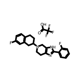 Fc1ccc2c(c1)CC(N1CCc3nc(-c4ccccc4F)[nH]c3C1)CC2.O=C(O)C(F)(F)F